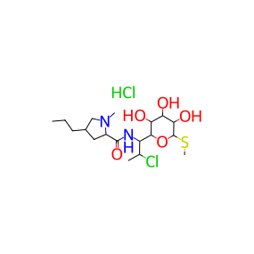 CCCC1CC(C(=O)NC(C(C)Cl)C2OC(SC)C(O)C(O)C2O)N(C)C1.Cl